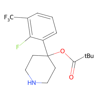 CC(C)(C)C(=O)OC1(c2cccc(C(F)(F)F)c2F)CCNCC1